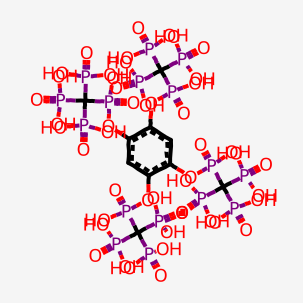 O=P(O)(O)C(P(=O)(O)O)(P(=O)(O)O)P(=O)(O)Oc1cc(OP(=O)(O)C(P(=O)(O)O)(P(=O)(O)O)P(=O)(O)O)c(OP(=O)(O)C(P(=O)(O)O)(P(=O)(O)O)P(=O)(O)O)cc1OP(=O)(O)C(P(=O)(O)O)(P(=O)(O)O)P(=O)(O)O